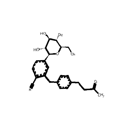 CC(=O)CCc1ccc(Cc2cc([C@@H]3O[C@H](CO)[C@@H](O)[C@H](O)[C@H]3O)ccc2C#N)cc1